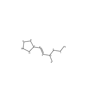 CCCC(C)C=C[C]1CCCC1